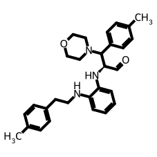 Cc1ccc(CCNc2ccccc2N[C@H](C=O)C(c2ccc(C)cc2)N2CCOCC2)cc1